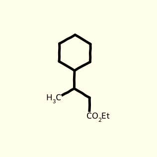 CCOC(=O)CC(C)C1CCCCC1